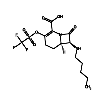 CCCCCN[C@@H]1C(=O)N2C(C(=O)O)=C(OS(=O)(=O)C(F)(F)F)CC[C@H]12